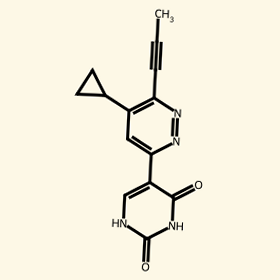 CC#Cc1nnc(-c2c[nH]c(=O)[nH]c2=O)cc1C1CC1